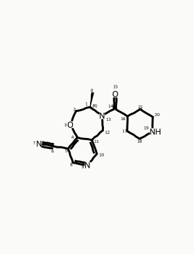 C[C@@H]1COc2c(C#N)cncc2CN1C(=O)C1CCNCC1